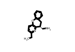 CCc1ccc2c(n1)[C@@H](CN)Cc1ccccc1O2